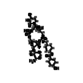 Nc1ncnc2c1ncn2C1O[C@@H]2COP(=O)(O)OC3C(n4ccc(=O)[nH]c4=O)O[C@H](COP(=O)(SCc4ccc(OC(=O)c5ccc(O)cc5)cc4)O[C@H]2[C@H]1F)[C@H]3F